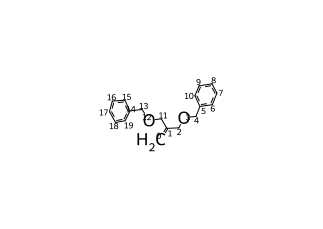 C=C(COCc1ccccc1)COCc1ccccc1